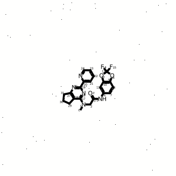 CN(CC(=O)Nc1ccc2c(c1)OC(F)(F)O2)c1nc(-c2ccccn2)nc2c1CCC2